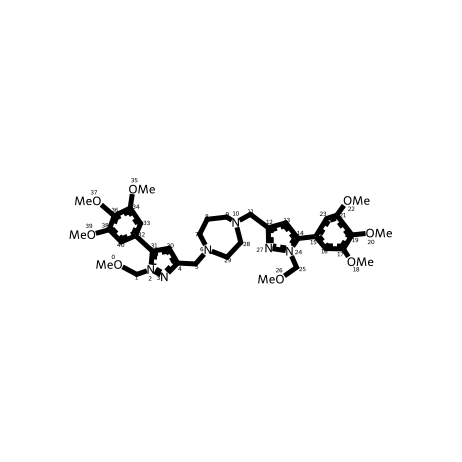 COCn1nc(CN2CCCN(Cc3cc(-c4cc(OC)c(OC)c(OC)c4)n(COC)n3)CC2)cc1-c1cc(OC)c(OC)c(OC)c1